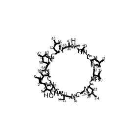 CC=CCC(C)C(O)C1CNC(CC)CN(C)CCN(C)C(CC(C)C)CNC(C(C)C)CN(C)C(CC(C)C)CNC(C)CNC(C)CN(C)C(CC(C)C)CN(C)C(CC(C)C)CN(C)C(C(C)C)CN1C